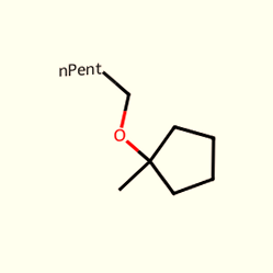 CCCCCCOC1(C)CCCC1